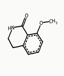 COc1cccc2c1C(=O)NCC2